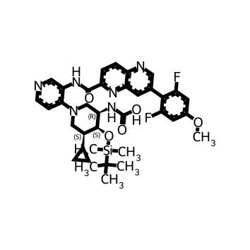 COc1cc(F)c(-c2cnc3ccc(C(=O)Nc4cnccc4N4C[C@H](C5CC5)[C@H](O[Si](C)(C)C(C)(C)C)[C@H](NC(=O)O)C4)nc3c2)c(F)c1